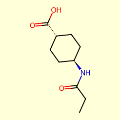 CCC(=O)N[C@H]1CC[C@H](C(=O)O)CC1